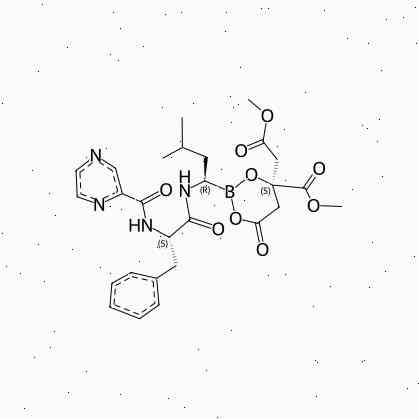 COC(=O)C[C@]1(C(=O)OC)CC(=O)OB([C@H](CC(C)C)NC(=O)[C@H](Cc2ccccc2)NC(=O)c2cnccn2)O1